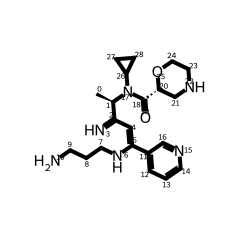 C[C@H](C(=N)/C=C(\NCCCN)c1cccnc1)N(C(=O)[C@H]1CNCCO1)C1CC1